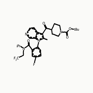 Cc1c(C(=O)C2CCN(C(=O)OC(C)(C)C)CC2)c2ccncc2n1-c1ccc(F)cc1C(=O)N(CC(F)(F)F)C(C)C